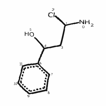 NC(Cl)CC(O)c1ccccc1